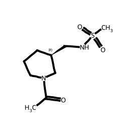 CC(=O)N1CCC[C@@H](CNS(C)(=O)=O)C1